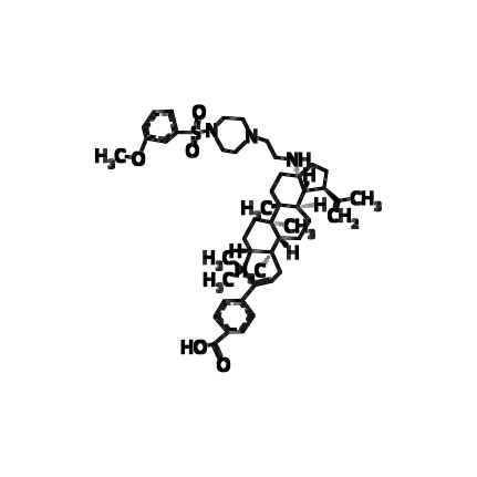 C=C(C)[C@@H]1CC[C@]2(NCCN3CCN(S(=O)(=O)c4cccc(OC)c4)CC3)CC[C@]3(C)[C@H](CC[C@@H]4[C@@]5(C)CC=C(c6ccc(C(=O)O)cc6)C(C)(C)[C@@H]5CC[C@]43C)[C@@H]12